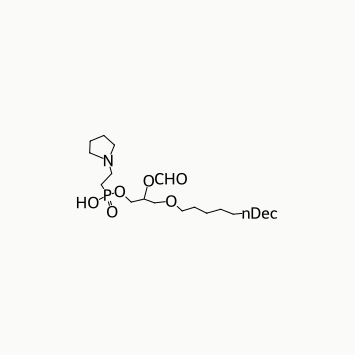 CCCCCCCCCCCCCCCOCC(COP(=O)(O)CCN1CCCC1)OC=O